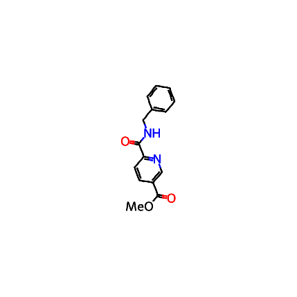 COC(=O)c1ccc(C(=O)NCc2ccccc2)nc1